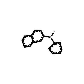 FB(c1ccccc1)c1ccc2ccccc2c1